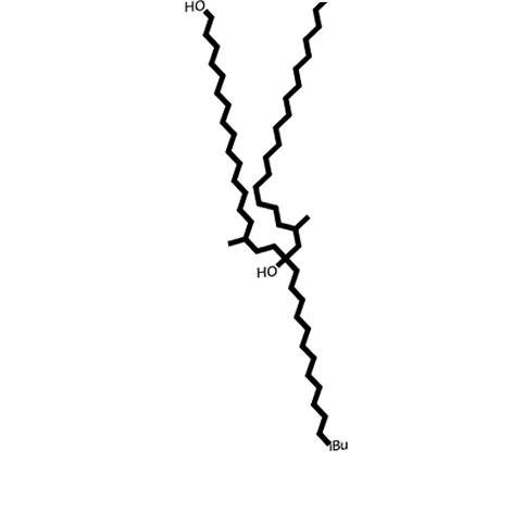 CCC(C)CCCCCCCCCCCCC(O)(CCC(C)CCCCCCCCCCCCCCCO)CC(C)CCCCCCCCCCCCCCCCCO